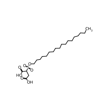 CCCCCCCCCCCCCCCCCCOS(=O)(=O)C(CC(=O)O)C(=O)O